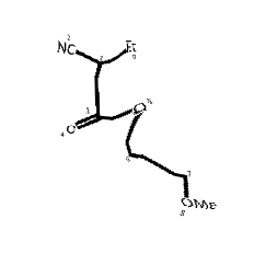 CCC(C#N)C(=O)OCCOC